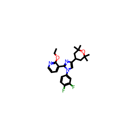 CCOc1ncccc1-c1nc(C2CC(C)(C)OC(C)(C)C2)cn1-c1ccc(F)c(F)c1